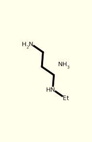 CCNCCCN.N